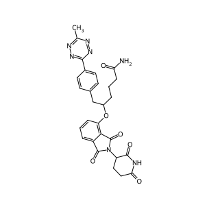 Cc1nnc(-c2ccc(CC(CCCC(N)=O)Oc3cccc4c3C(=O)N(C3CCC(=O)NC3=O)C4=O)cc2)nn1